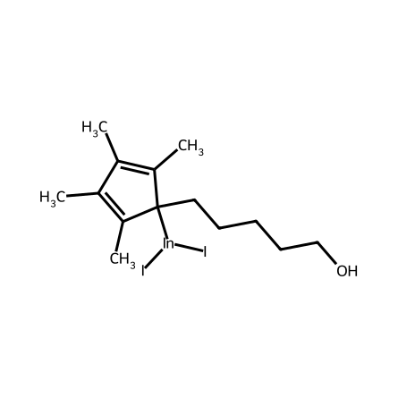 CC1=C(C)[C](CCCCCO)([In]([I])[I])C(C)=C1C